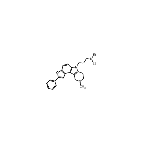 CCN(CC)CCCn1c2c(c3c4cc(-c5ccccc5)oc4ccc31)CN(C)CC2